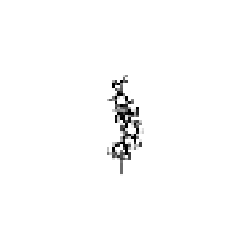 COc1ccc(S(=O)(=O)c2ccc3oc4c(c3c2)CCNC4)cc1